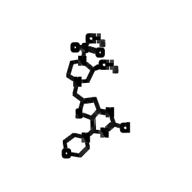 C[C@H]1CN(Cc2cc3nc(Cl)nc(N4CCOCC4)c3s2)CCN1S(C)(=O)=O